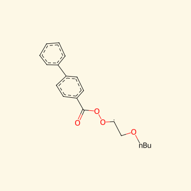 CCCCOC[CH]OOC(=O)c1ccc(-c2ccccc2)cc1